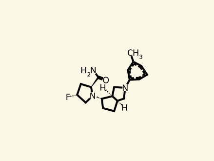 Cc1cccc(N2C[C@H]3CC[C@H](N4C[C@H](F)C[C@H]4C(N)=O)[C@H]3C2)c1